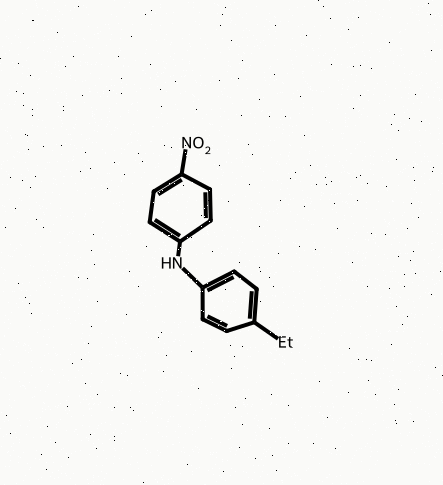 CCc1ccc(Nc2ccc([N+](=O)[O-])cc2)cc1